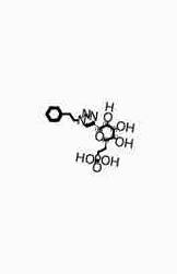 O=P(O)(O)CC[C@H]1O[C@H](c2cn(CCc3ccccc3)nn2)[C@@H](O)[C@@H](O)[C@@H]1O